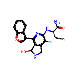 CC(C)C[C@@H](Nc1nc(-c2coc3ccccc23)c2c(c1F)CNC2O)C(N)=O